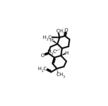 C=C[C@@]1(C)C=C2C(=O)C[C@@H]3C(C)(C)C(=O)CC[C@@]3(C)[C@@H]2CC1